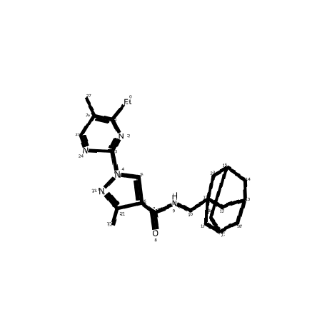 CCc1nc(-n2cc(C(=O)NCC34CC5CC(CC(C5)C3)C4)c(C)n2)ncc1C